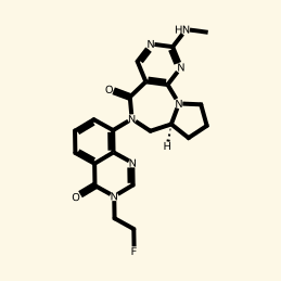 CNc1ncc2c(n1)N1CCC[C@H]1CN(c1cccc3c(=O)n(CCF)cnc13)C2=O